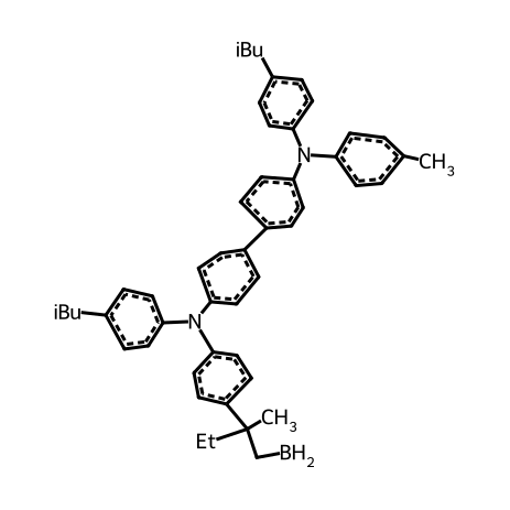 BCC(C)(CC)c1ccc(N(c2ccc(-c3ccc(N(c4ccc(C)cc4)c4ccc(C(C)CC)cc4)cc3)cc2)c2ccc(C(C)CC)cc2)cc1